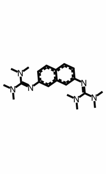 CN(C)C(=Nc1ccc2ccc(N=C(N(C)C)N(C)C)cc2c1)N(C)C